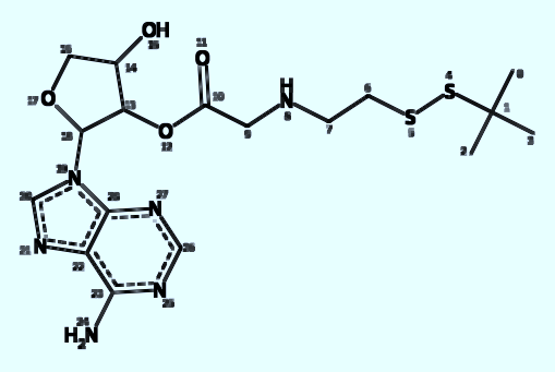 CC(C)(C)SSCCNCC(=O)OC1C(O)COC1n1cnc2c(N)ncnc21